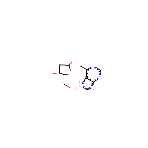 Cc1ncnc2nc[nH]c12.OC[C@H]1OC(O)C[C@@H]1O